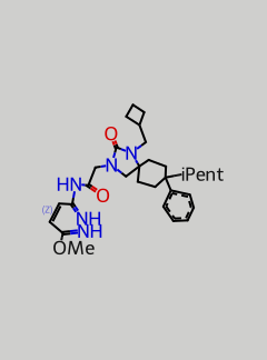 CCCC(C)C1(c2ccccc2)CCC2(CC1)CN(CC(=O)NC(=N)/C=C\C(=N)OC)C(=O)N2CC1CCC1